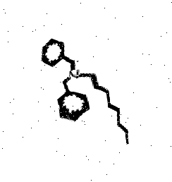 CCCCCCCCN([CH]c1ccccc1)[CH]c1ccccc1